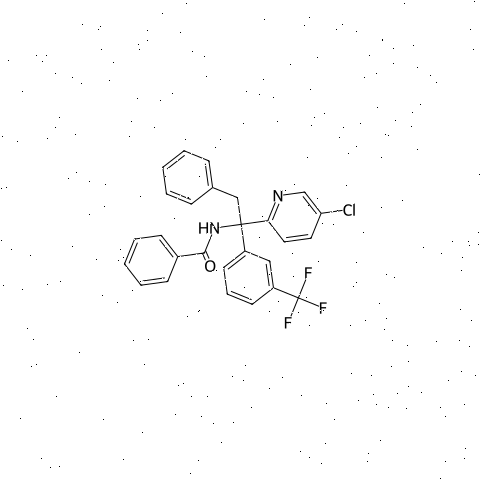 O=C(NC(Cc1ccccc1)(c1cccc(C(F)(F)F)c1)c1ccc(Cl)cn1)c1ccccc1